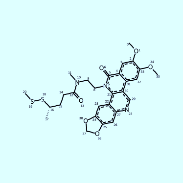 COc1cc2c(=O)n(CCN(C)C(=O)CC[C@H](C)SSC)c3c4cc5c(cc4ncc3c2cc1OC)OCO5